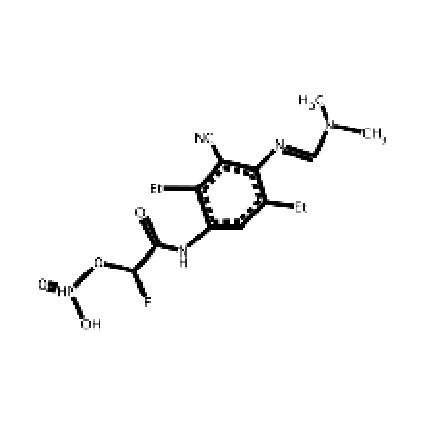 CCc1cc(NC(=O)C(F)O[PH](=O)O)c(CC)c(C#N)c1N=CN(C)C